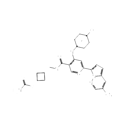 N#Cc1cnn2c(-c3cc(NC45CCC(O)(CC4)CC5)c(C(=O)NC[C@H]4C[C@@H](OC(N)=O)C4)cn3)ccc2c1